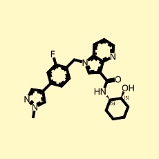 Cn1cc(-c2ccc(Cn3cc(C(=O)N[C@H]4CCCC[C@@H]4O)c4ncccc43)c(F)c2)cn1